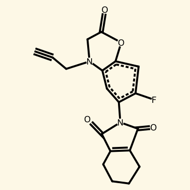 C#CCN1CC(=O)Oc2cc(F)c(N3C(=O)C4=C(CCCC4)C3=O)cc21